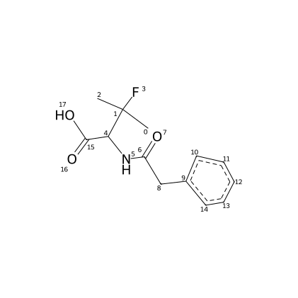 CC(C)(F)C(NC(=O)Cc1ccccc1)C(=O)O